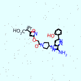 CC(C)C(C(=O)O)c1cc(OCC(=O)N2CCC(n3nc(N)c4nnc(-c5ccccc5O)cc43)CC2)no1